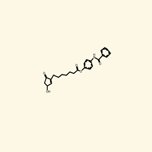 O=C(CCCCCCC1=CC(O)CC1=O)Oc1ccc(NC(=O)c2ccccc2)cc1